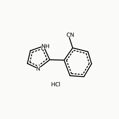 Cl.N#Cc1ccccc1-c1ncc[nH]1